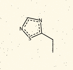 CCc1n[c]ns1